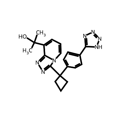 CC(C)(O)c1cccn2c(C3(c4ccc(-c5nnn[nH]5)cc4)CCC3)nnc12